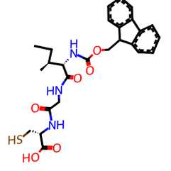 CC[C@H](C)[C@H](NC(=O)OCC1c2ccccc2-c2ccccc21)C(=O)NCC(=O)N[C@@H](CS)C(=O)O